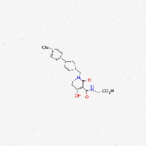 CC(C)(C)c1ccc(-c2ccc(CN3CCC(O)=C(C(=O)NCC(=O)O)C3=O)cc2)cc1